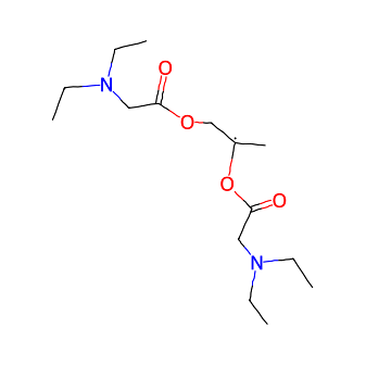 CCN(CC)CC(=O)OC[C](C)OC(=O)CN(CC)CC